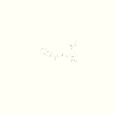 O=C(CNC(=O)c1cc2ccccc2s1)NC(CC1CCCNC1=O)C(=O)C(=O)NC1CCCCC1